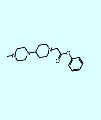 CN1CCN(C2CCN(CC(=O)Oc3ccccc3)CC2)CC1